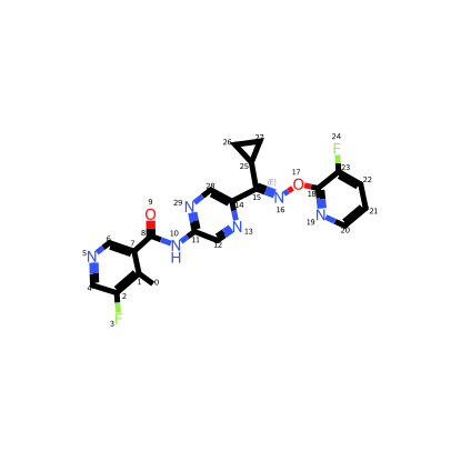 Cc1c(F)cncc1C(=O)Nc1cnc(/C(=N/Oc2ncccc2F)C2CC2)cn1